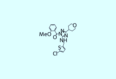 COc1ccccc1C(=O)n1nc(C2CCOCC2)nc1NCc1ccc(Cl)s1